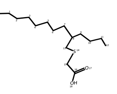 CCCCCCCCC(CCCC)CSCC(=O)O